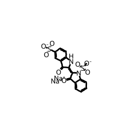 O=C1C(=C2C(=O)c3ccccc3N2S(=O)(=O)[O-])Nc2ccc(S(=O)(=O)[O-])cc21.[Na+].[Na+]